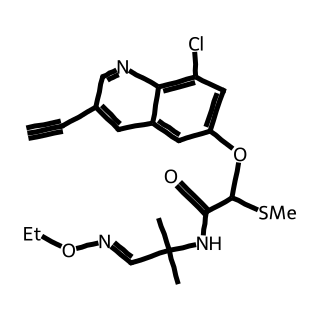 C#Cc1cnc2c(Cl)cc(OC(SC)C(=O)NC(C)(C)C=NOCC)cc2c1